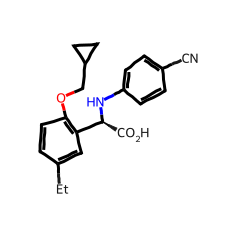 CCc1ccc(OCC2CC2)c([C@@H](Nc2ccc(C#N)cc2)C(=O)O)c1